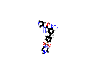 CN1CCN(S(=O)(=O)c2ccc(-c3ccc(N)c(C(=O)Nc4cccnc4)c3)cc2)CC1